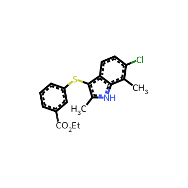 CCOC(=O)c1cccc(Sc2c(C)[nH]c3c(C)c(Cl)ccc23)c1